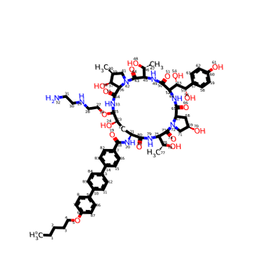 CCCCCOc1ccc(-c2ccc(-c3ccc(C(=O)N[C@H]4C[C@@H](O)C(OCCNCCN)NC(=O)C5[C@@H](O)[C@@H](C)CN5C(=O)C([C@@H](C)O)NC(=O)C([C@H](O)[C@@H](O)c5ccc(O)cc5)NC(=O)C5C[C@@H](O)CN5C(=O)C([C@@H](C)O)NC4=O)cc3)cc2)cc1